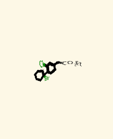 CCOC(=O)Cc1ccc(C2(Br)CCCCC2)c(Cl)c1